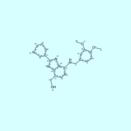 COc1ccc(CNc2ncc(CO)c3nc(-c4cccnc4)nn23)cc1OC